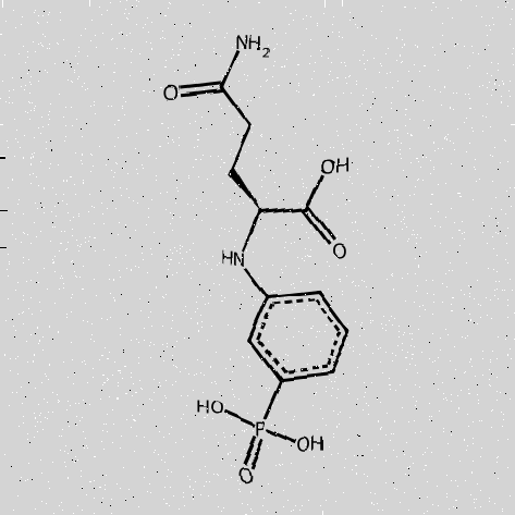 NC(=O)CC[C@H](Nc1cccc(P(=O)(O)O)c1)C(=O)O